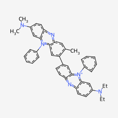 CCN(CC)c1ccc2nc3ccc(-c4cc5c(cc4C)nc4ccc(N(C)C)cc4[n+]5-c4ccccc4)cc3[n+](-c3ccccc3)c2c1